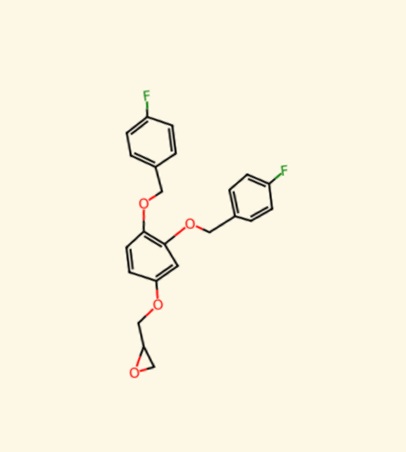 Fc1ccc(COc2ccc(OCC3CO3)cc2OCc2ccc(F)cc2)cc1